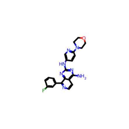 Nc1nc(Nc2ccc(N3CCOCC3)nc2)nc2c(-c3cccc(F)c3)nccc12